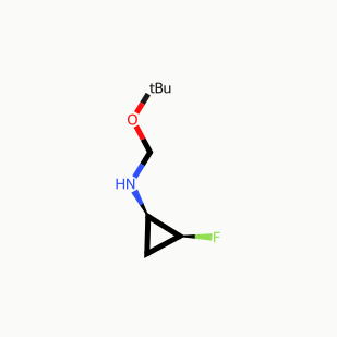 CC(C)(C)OCN[C@@H]1C[C@@H]1F